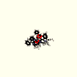 C=C/C=C1\C(C/C(=C(/C)N(C)c2cccc(-c3cc(-c4ccccc4)nc(N4C5=C(C(CC)=C5)C(C)(C5/C(=C\C=C)N(c6ccccc6)c6ccccc65)/C4=C\C)n3)c2)[C@H](C)CC)c2ccccc2N1c1ccccc1